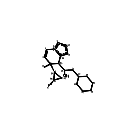 CC1([C@H]2C[C@H]2F)C=Cn2cncc2C1C(O)CC1CCCCC1